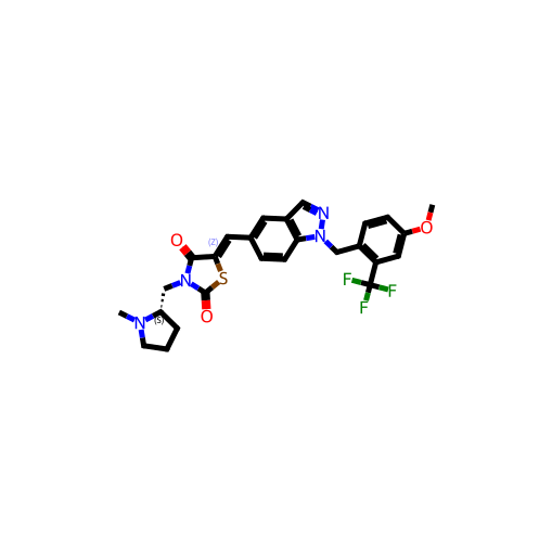 COc1ccc(Cn2ncc3cc(/C=C4\SC(=O)N(C[C@@H]5CCCN5C)C4=O)ccc32)c(C(F)(F)F)c1